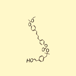 CCOC(C)Oc1ccc(C=CC=Cc2ccc(OC(=O)OC(C)(C)Cc3ccc(C=CO)cc3)cc2)cc1